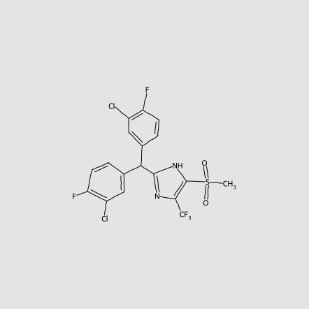 CS(=O)(=O)c1[nH]c(C(c2ccc(F)c(Cl)c2)c2ccc(F)c(Cl)c2)nc1C(F)(F)F